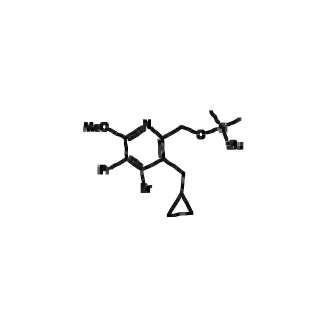 COc1nc(CO[Si](C)(C)C(C)(C)C)c(CC2CC2)c(Br)c1C(C)C